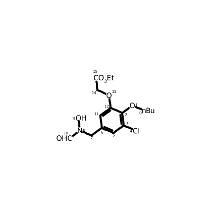 CCCCOc1c(Cl)cc(CN(O)C=O)cc1OCC(=O)OCC